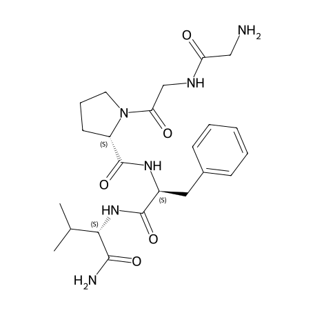 CC(C)[C@H](NC(=O)[C@H](Cc1ccccc1)NC(=O)[C@@H]1CCCN1C(=O)CNC(=O)CN)C(N)=O